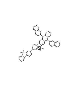 CC1(C)c2ccccc2-c2ccc(-c3ccc4c(c3)[Si](C)(C)c3cc5c(-c6ccc7ccccc7c6)c6ccccc6c(-c6ccc7ccccc7c6)c5cc3-4)cc21